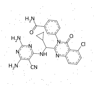 N#Cc1c(N)nc(N)nc1NC(c1nc2cccc(Cl)c2c(=O)n1-c1cccc(C(N)=O)c1)C1CC1